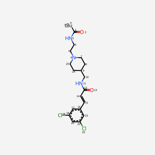 CC(C)(C)C(=O)NCCN1CCC(CNC(=O)C=Cc2cc(Cl)cc(Cl)c2)CC1